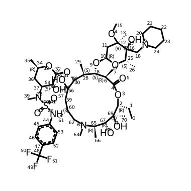 CC[C@H]1OC(=O)[C@H](C)[C@@H](O[C@H]2C[C@@](C)(OC)[C@](O)(CN3CCCCC3)[C@H](C)O2)[C@H](C)[C@@H](O[C@@H]2O[C@H](C)C[C@H](N(C)S(=O)(=O)Nc3ccc(C(F)(F)F)cc3)[C@H]2O)[C@](C)(O)C[C@@H](C)CN(C)[C@H](C)[C@@H](O)[C@]1(C)O